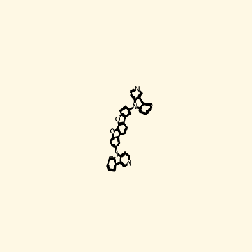 c1ccc2c(c1)c1cnccc1n2-c1ccc2oc3c(ccc4c5cc(-n6c7ccccc7c7cnccc76)ccc5oc43)c2c1